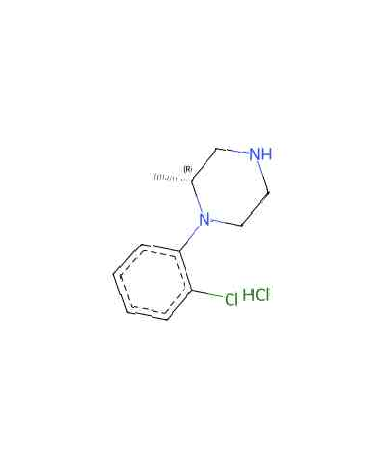 C[C@@H]1CNCCN1c1ccccc1Cl.Cl